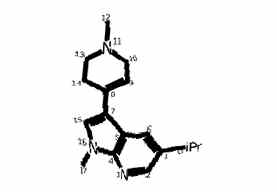 CC(C)c1cnc2c(c1)c(C1=CCN(C)CC1)cn2C